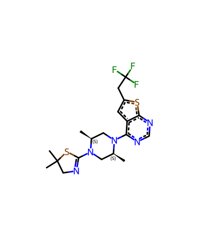 C[C@H]1CN(c2ncnc3sc(CC(F)(F)F)cc23)[C@@H](C)CN1C1=NCC(C)(C)S1